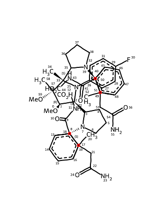 CO[C@@H]1[C@H](C2CCCN2[C@@]2(C(=O)NC(=O)O)c3ccc(cc3)C2(C)CC(N)=O)N(c2ccc(F)cc2)[C@@](C)(C2CCCN2[C@@]2(C(=O)NC(=O)O)c3ccc(cc3)C2(C)CC(N)=O)[C@@]1(C)OC